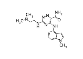 CN(C)CCNc1nnc(C(N)=O)c(Nc2cccc3c2ccn3C)n1